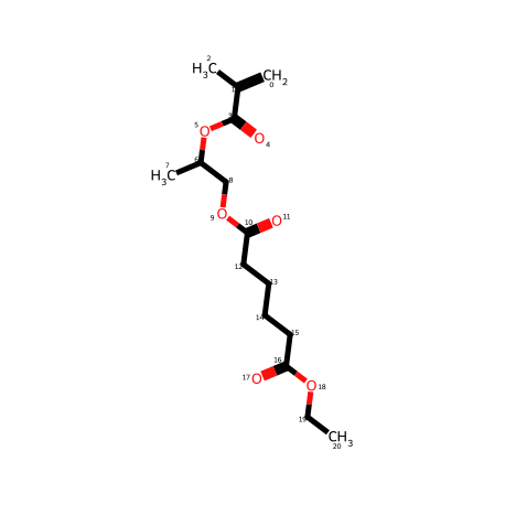 C=C(C)C(=O)OC(C)COC(=O)CCCCC(=O)OCC